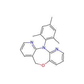 Cc1cc(C)c(N2c3ncccc3COc3cccnc32)c(C)c1